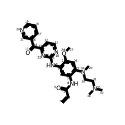 C=CC(=O)Nc1cc(Nc2nccc(C(=O)c3cccnc3)n2)c(OC)cc1N(C)CCN(C)C